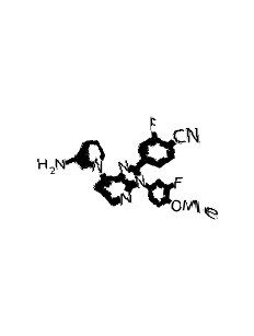 COc1ccc(-n2c(-c3ccc(C#N)c(F)c3)nc3c(N4CCCC(N)C4)ccnc32)cc1F